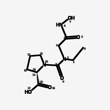 CCN(CC(=O)NO)C(=O)N1CCC[C@H]1C(=O)O